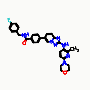 Cc1nc(N2CCOCC2)ccc1Nc1nc2ccc(-c3ccc(C(=O)NCc4ccc(F)cc4)cc3)cn2n1